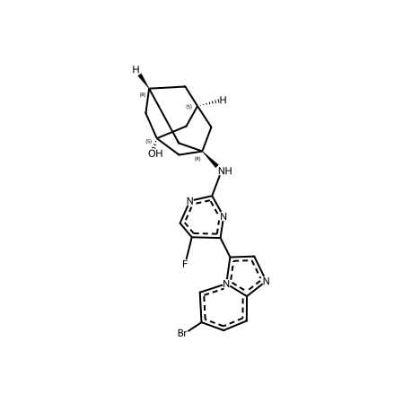 O[C@@]12C[C@H]3C[C@@H](C1)C[C@](Nc1ncc(F)c(-c4cnc5ccc(Br)cn45)n1)(C3)C2